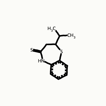 CC(C)C1CC(=S)Nc2ccccc2S1